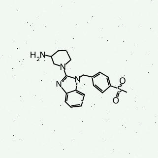 CS(=O)(=O)c1ccc(Cn2c(N3CCCC(N)C3)nc3ccccc32)cc1